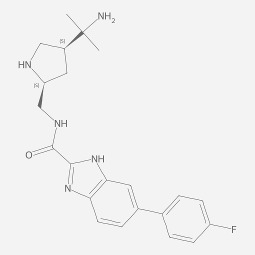 CC(C)(N)[C@@H]1CN[C@H](CNC(=O)c2nc3ccc(-c4ccc(F)cc4)cc3[nH]2)C1